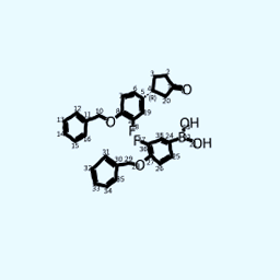 O=C1CC[C@@H](c2ccc(OCc3ccccc3)c(F)c2)C1.OB(O)c1ccc(OCc2ccccc2)c(F)c1